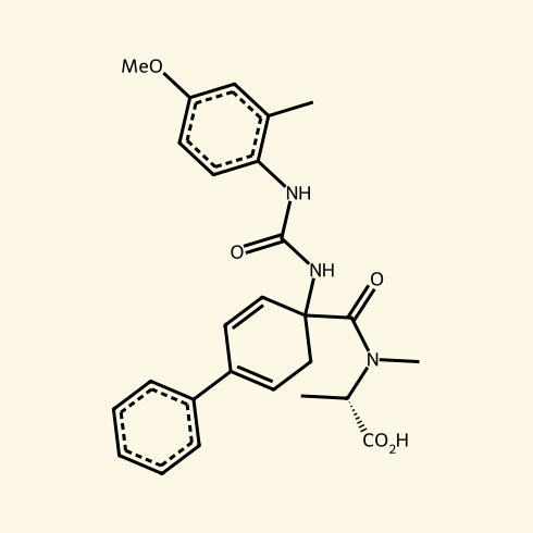 COc1ccc(NC(=O)NC2(C(=O)N(C)[C@@H](C)C(=O)O)C=CC(c3ccccc3)=CC2)c(C)c1